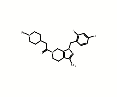 CC(C)N1CCC(CC(=O)N2CCc3c(C(F)(F)F)nn(Cc4ccc(Cl)cc4F)c3C2)CC1